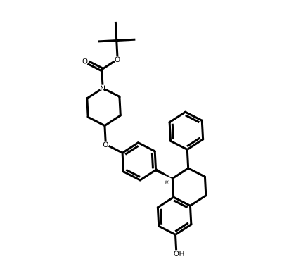 CC(C)(C)OC(=O)N1CCC(Oc2ccc([C@@H]3c4ccc(O)cc4CCC3c3ccccc3)cc2)CC1